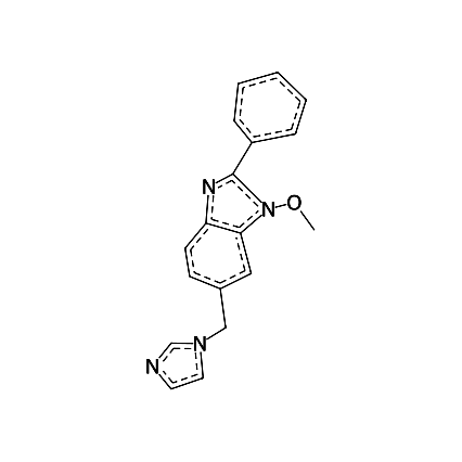 COn1c(-c2ccccc2)nc2ccc(Cn3ccnc3)cc21